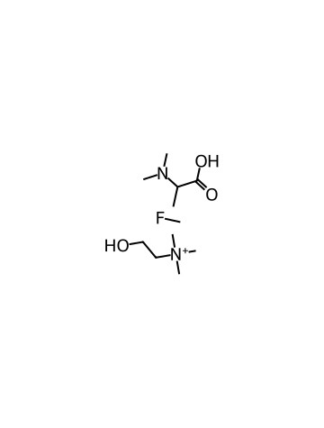 CC(C(=O)O)N(C)C.CF.C[N+](C)(C)CCO